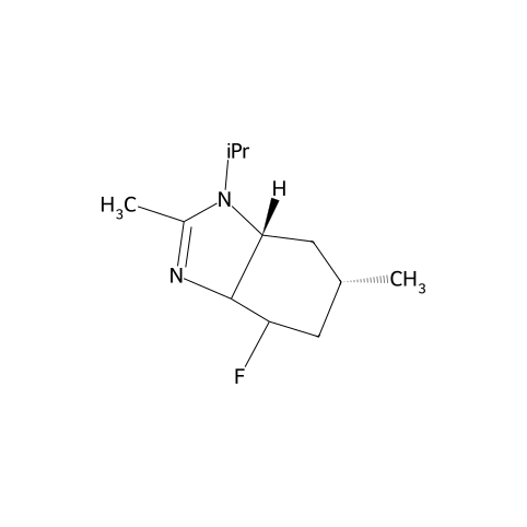 CC1=NC2C(F)C[C@@H](C)C[C@H]2N1C(C)C